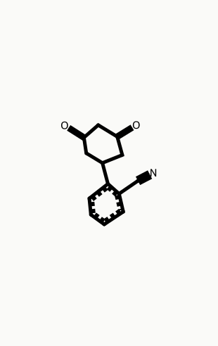 N#Cc1ccccc1C1CC(=O)CC(=O)C1